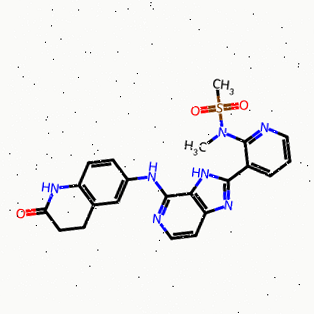 CN(c1ncccc1-c1nc2ccnc(Nc3ccc4c(c3)CCC(=O)N4)c2[nH]1)S(C)(=O)=O